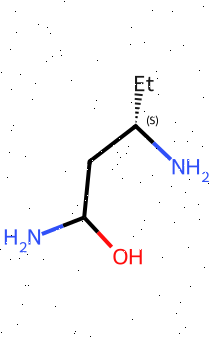 CC[C@H](N)CC(N)O